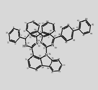 c1ccc(C2=NC(c3ccccc3)NC(c3cccc4c5ccccc5n(-c5nc(-c6ccccc6)nc(-c6ccc(-c7ccccc7)cc6)n5)c34)=N2)cc1